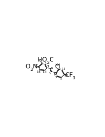 O=C(O)c1cc(C=Cc2ccc(C(F)(F)F)cc2Cl)ccc1[N+](=O)[O-]